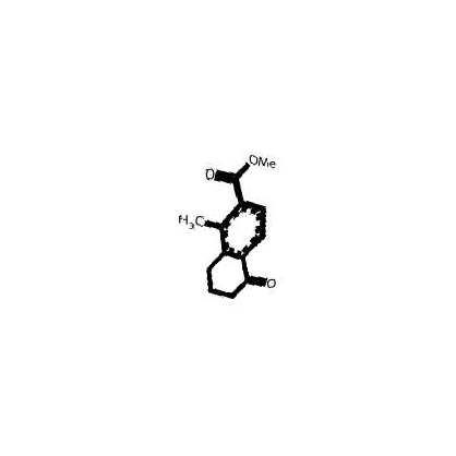 COC(=O)c1ccc2c(c1C)CCCC2=O